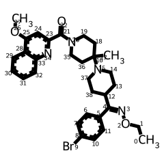 CCON=C(c1ccc(Br)cc1)C1CCN(C2(C)CCN(C(=O)c3cc(OC)c4ccccc4n3)CC2)CC1